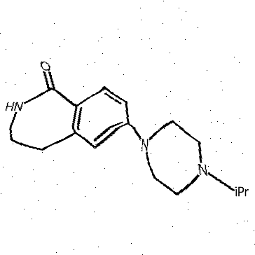 CC(C)N1CCN(c2ccc3c(c2)CCNC3=O)CC1